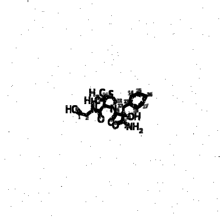 C#CCNC(=O)C1N(C(=O)C(O)(Cc2ccccc2)C(N)=O)CSC1(C)C